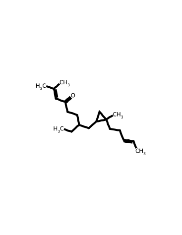 C/C=C/CCC1(C)CC1CC(CC)CCC(=O)C=C(C)C